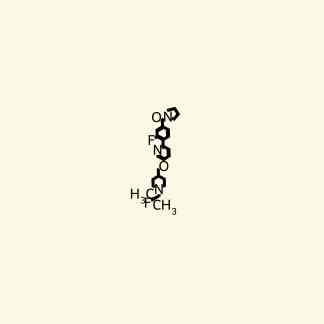 CC(C)(F)CN1CCC(COc2ccc(-c3ccc(C(=O)N4CCCC4)cc3F)nc2)CC1